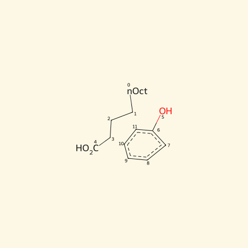 CCCCCCCCCCCC(=O)O.Oc1ccccc1